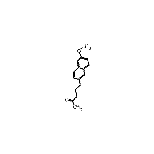 COc1ccc2cc(CCCC(C)=O)ccc2c1